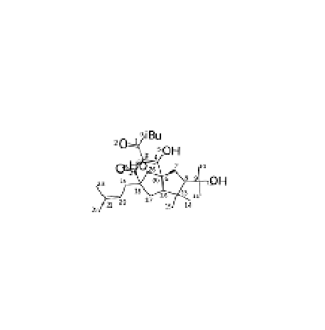 CCC(C)C(=O)C1=C(O)[C@]23CC(C(C)(C)O)C(C)(C)C2CC(CC=C(C)C)(C1=O)C3O